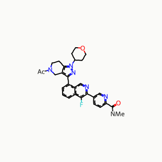 CNC(=O)c1ccc(-c2ncc3c(-c4nn(C5CCOCC5)c5c4CN(C(C)=O)CC5)cccc3c2F)cn1